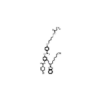 C=CC(=O)OCCCCCCOc1ccc(C(=O)Oc2ccc(OC(=O)C3CCC(CC)CC3)c(/C=N/N(CCCCCCC#N)c3nc4ccccc4s3)c2)cc1